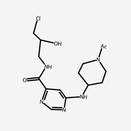 CC(=O)N1CCC(Nc2cc(C(=O)NCC(O)CCl)ncn2)CC1